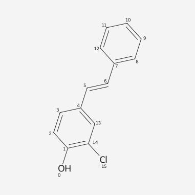 Oc1ccc(C=Cc2ccccc2)cc1Cl